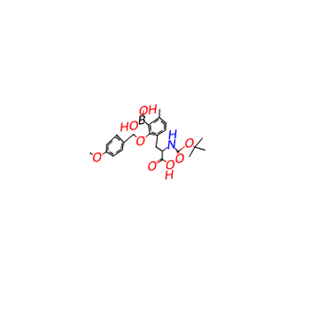 COc1ccc(COc2c(CC(NC(=O)OC(C)(C)C)C(=O)O)ccc(C)c2B(O)O)cc1